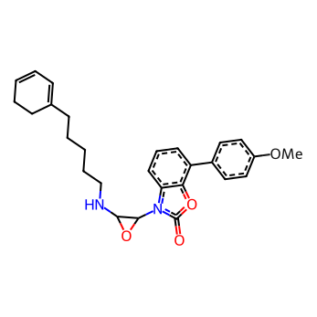 COc1ccc(-c2cccc3c2oc(=O)n3C2OC2NCCCCCC2=CC=CCC2)cc1